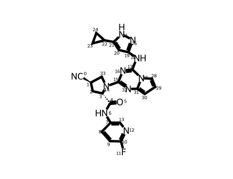 N#C[C@@H]1C[C@@H](C(=O)Nc2ccc(F)nc2)N(c2nc(Nc3cc(C4CC4)[nH]n3)n3cccc3n2)C1